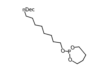 CCCCCCCCCCCCCCCCCCOP1OCCCCO1